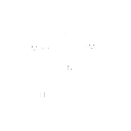 COC(=O)c1ncc(O)cc1OC